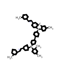 Cc1cccc(/C=C/c2ccc(N(c3ccc(-c4ccc(N(c5ccc(/C=C/c6cccc(C)c6)cc5)c5ccc(C)cc5C)cc4)cc3)c3ccc(C)cc3C)cc2)c1